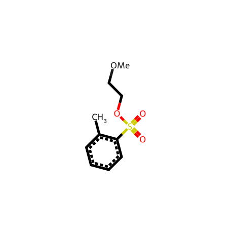 COCCOS(=O)(=O)c1ccccc1C